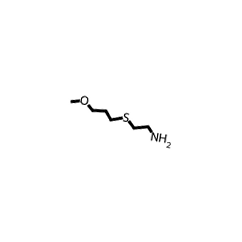 COCCCSCCN